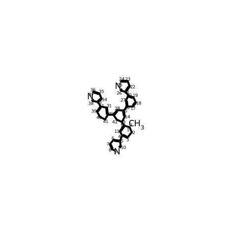 CC1CC=C(c2cccnc2)C=C1C1C=C(c2cccc(-c3cccnc3)c2)C=C(C2=CC(c3cccnc3)=CCC2)C1